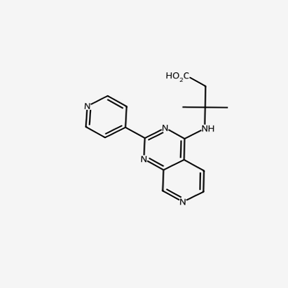 CC(C)(CC(=O)O)Nc1nc(-c2ccncc2)nc2cnccc12